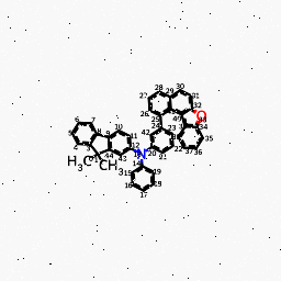 CC1(C)c2ccccc2-c2ccc(N(c3ccccc3)c3cccc(-c4cccc5ccc6oc7ccccc7c6c45)c3)cc21